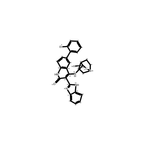 CCc1ccccc1-c1ccc2[nH]c(=O)c(-c3nc4ccccc4[nH]3)c(N[C@H]3CN4CCC3CC4)c2c1